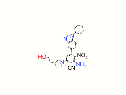 N#Cc1c(N2CCC(CCO)C2)cc(-c2ccc3c(c2)ncn3C2CCCCC2)c([N+](=O)[O-])c1N